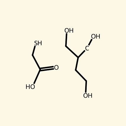 O=C(O)CS.OCCC(CO)CO